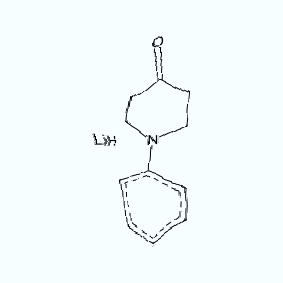 O=C1CCN(c2cc[c]cc2)CC1.[LiH]